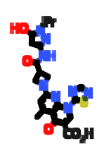 Cc1cc(N2CC(C(=O)Nc3cc(O)n(C(C)C)n3)C2)nc2c1c(=O)c(C(=O)O)cn2-c1ncns1